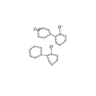 [Cu+2].[O-]c1ccccc1-c1ccccc1.[O-]c1ccccc1-c1ccccc1